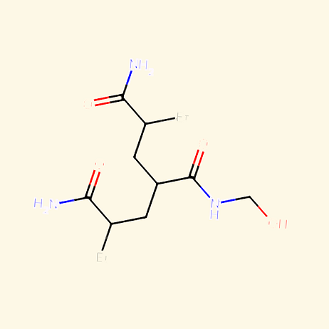 CCC(CC(CC(CC)C(N)=O)C(=O)NCO)C(N)=O